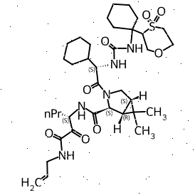 C=CCNC(=O)C(=O)[C@H](CCC)NC(=O)[C@@H]1[C@@H]2[C@H](CN1C(=O)[C@@H](NC(=O)NC1(C3COCCS3(=O)=O)CCCCC1)C1CCCCC1)C2(C)C